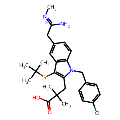 C/N=C(\N)Cc1ccc2c(c1)c(SC(C)(C)C)c(CC(C)(C)C(=O)O)n2Cc1ccc(Cl)cc1